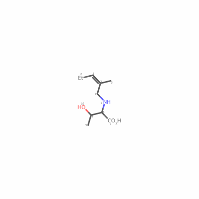 CCC=C(C)CNC(C(=O)O)C(C)O